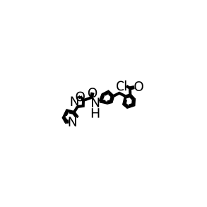 O=C(Cl)c1ccccc1Cc1ccc(NC(=O)C2CC(c3cccnc3)=NO2)cc1